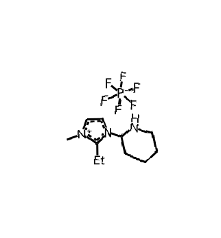 CCc1n(C2CCCCN2)cc[n+]1C.F[P-](F)(F)(F)(F)F